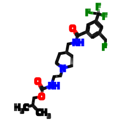 CC(C)COC(=O)NCCN1CCC(CNC(=O)c2cc(CF)cc(C(F)(F)F)c2)CC1